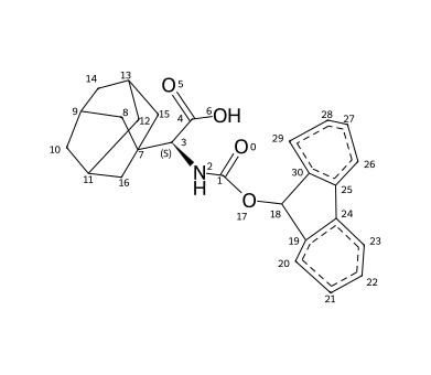 O=C(N[C@H](C(=O)O)C12CC3CC(CC(C3)C1)C2)OC1c2ccccc2-c2ccccc21